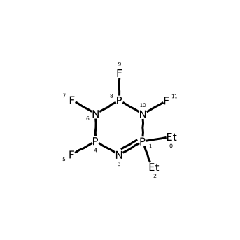 CCP1(CC)=NP(F)N(F)P(F)N1F